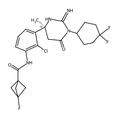 C[C@@]1(c2cccc(NC(=O)C34CC(F)(C3)C4)c2Cl)CC(=O)N(C2CCC(F)(F)CC2)C(=N)N1